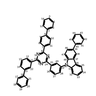 c1ccc(-c2ccc(-c3nc(-c4cccc(-c5ccccc5)c4)nc(-c4cccc(-n5c6ccccc6c6cc(-c7ccccc7)ccc65)c4)n3)cc2)cc1